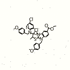 CCOC(=O)c1ccc2c(c1)nc(SC(C)C(=O)N(Cc1ccc(OC)cc1)c1ncc(Cl)cc1Cl)n2Cc1ccc(OC)cc1